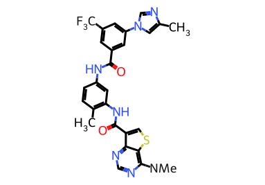 CNc1ncnc2c(C(=O)Nc3cc(NC(=O)c4cc(-n5cnc(C)c5)cc(C(F)(F)F)c4)ccc3C)csc12